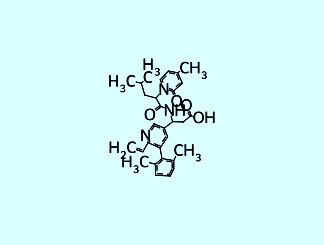 C=Cc1ncc(C(CC(=O)O)NC(=O)C(CC(C)C)n2ccc(C)cc2=O)cc1-c1c(C)cccc1C